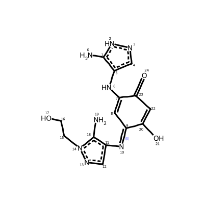 Nc1[nH]ncc1NC1=C/C(=N\c2cnn(CCO)c2N)C(O)=CC1=O